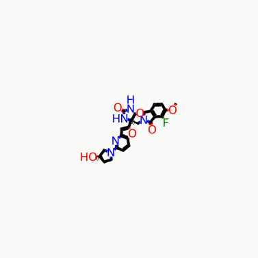 COc1ccc2c(c1F)C(=O)N(C[C@@]1(c3cc4nc(N5CC[C@@H](O)C5)ccc4o3)NC(=O)NC1=O)C2